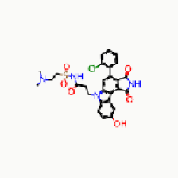 CN(C)CCS(=O)(=O)NC(=O)CCn1c2ccc(O)cc2c2c3c(c(-c4ccccc4Cl)cc21)C(=O)NC3=O